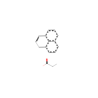 C1=Cc2cccc3cccc(c23)C1.CCC(=O)O